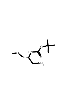 COC[C@@H](CN)NC(=O)OC(C)(C)C